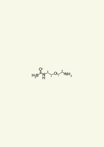 BC(=O)NCCOCCN